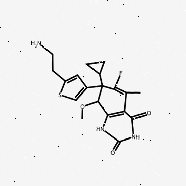 COC1c2[nH]c(=O)[nH]c(=O)c2C(C)=C(F)C1(c1csc(CCN)c1)C1CC1